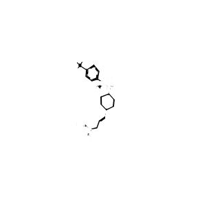 CN(C)C/C=C/[C@H]1CC[C@H](N(C)S(=O)(=O)c2ccc(C(F)(F)F)cc2)CC1